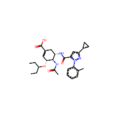 CCC(CC)O[C@@H]1C=C(C(=O)O)C[C@H](NC(=O)c2cc(C3CC3)nn2-c2ccccc2C)[C@H]1NC(C)=O